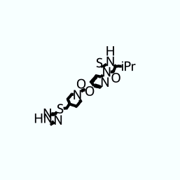 CC(C)C1NC(=S)N(c2ccc(OC(=O)N3CCC(CSc4nc[nH]n4)CC3)cn2)C1=O